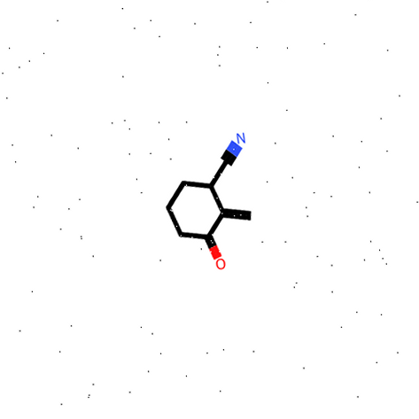 C=C1C(=O)CCCC1C#N